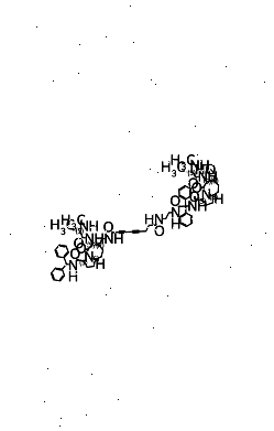 CC[C@H](NC)C(=O)N[C@@H]1C(=O)N2[C@@H](CC[C@@H]1CNC(=O)C#CC#CCCC(=O)NCCNC(=O)C(NC(=O)[C@@H]1CC[C@@H]3CC[C@H](CO)[C@H](NC(=O)[C@H](CC)NC)C(=O)N31)(c1ccccc1)c1ccccc1)CC[C@H]2C(=O)NC(c1ccccc1)c1ccccc1